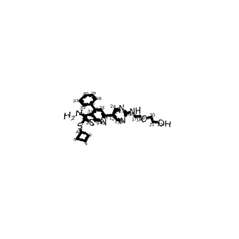 Nc1c(SC2CCC2)sc2nc(-c3cnc(NCCOCCO)nc3)cc(-c3ccccc3)c12